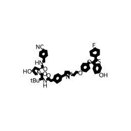 CC(C)(C)C(NC(=O)Cc1ccc(-c2ccn(CCOc3ccc(Oc4c(-c5ccc(F)cc5)sc5cc(O)ccc45)cc3)n2)cc1)C(=O)N1C[C@H](O)C[C@H]1C(=O)NCc1ccc(C#N)cc1